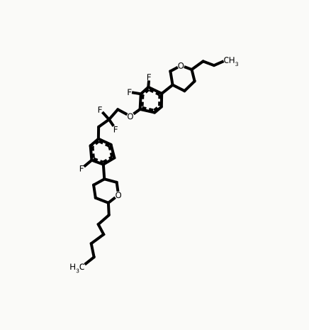 CCCCCCC1CCC(c2ccc(CC(F)(F)COc3ccc(C4CCC(CCC)OC4)c(F)c3F)cc2F)CO1